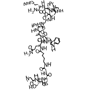 CCC[C@H](NC(=O)[C@H](Cc1cnc[nH]1)NC(=O)CNC(=O)[C@@H](NC(=O)[C@H](C)NC(=O)[C@H](Cc1c[nH]c2ccccc12)NC(=O)[C@H](CCC(N)=O)NC(=O)CCCCNC(=O)CNC(=O)[C@H](CS)NC(=O)[C@H](CO)NC(=O)CN(C)C)C(C)C)C(=O)N[C@@H](CCSC)C(N)=O